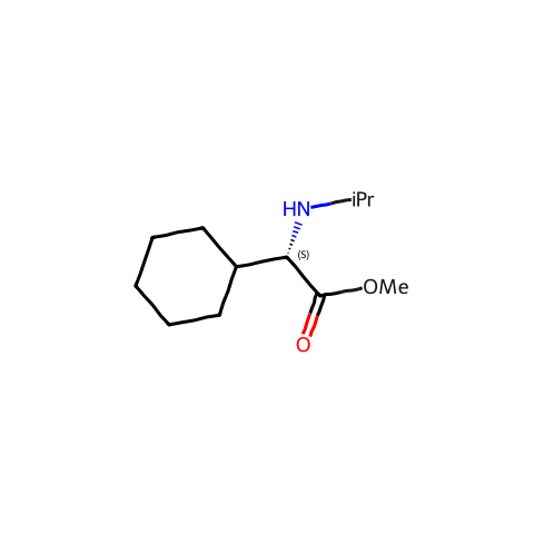 COC(=O)[C@@H](NC(C)C)C1CCCCC1